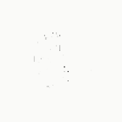 COC(=O)c1ncc2c(c(C)c(Br)c(=O)n2C2CCCC2)c1O